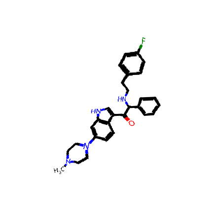 CN1CCN(c2ccc3c(C(=O)C(NCCc4ccc(F)cc4)c4ccccc4)c[nH]c3c2)CC1